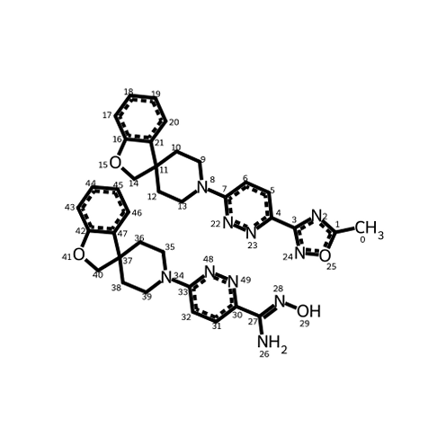 Cc1nc(-c2ccc(N3CCC4(CC3)COc3ccccc34)nn2)no1.NC(=NO)c1ccc(N2CCC3(CC2)COc2ccccc23)nn1